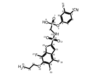 N#Cc1ccc(OP(=O)(O)CNS(=O)(=O)c2cc3c(F)c(F)c(OCCN)c(F)c3s2)cc1F